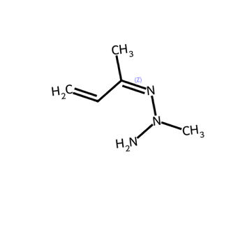 C=C/C(C)=N\N(C)N